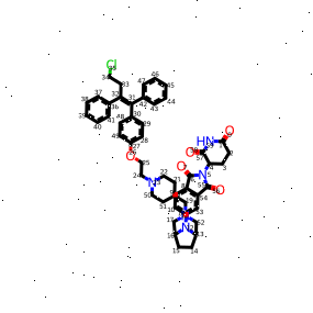 O=C1CCC(N2C(=O)c3ccc(N4C5CCC4CN(CC4CCN(CCOc6ccc(C(=C(CCCl)c7ccccc7)c7ccccc7)cc6)CC4)C5)cc3C2=O)C(=O)N1